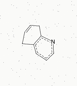 C1=CCc2ncccc2C1